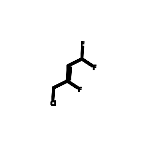 FC(=CC(F)F)CCl